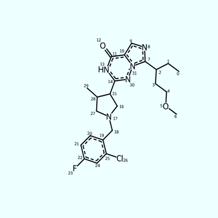 CCC(CCOC)c1ncc2c(=O)[nH]c(C3CN(Cc4ccc(F)cc4Cl)CC3C)nn12